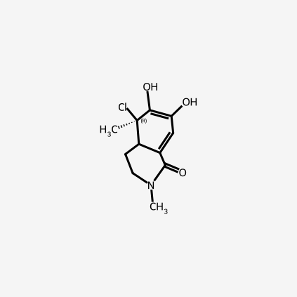 CN1CCC2C(=CC(O)=C(O)[C@]2(C)Cl)C1=O